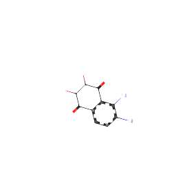 Nc1ccc2c(c1N)C(=O)C(O)C(O)C2=O